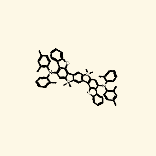 Cc1ccc(N(c2ccccc2C)c2cc3c(c4oc5ccccc5c24)-c2cc4c(cc2[Si]3(C)C)-c2c(cc(N(c3ccccc3C)c3ccc(C)cc3C)c3c2oc2ccccc23)[Si]4(C)C)c(C)c1